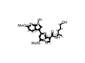 CNc1cc(-c2cn(C(C)C)c3nc(OC)ccc23)nc2c(C(=O)NC(C)CCCO)cnn12